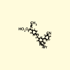 CC#C[C@@H](CC(=O)O)c1ccc(OCc2cc(-c3cccc(C#N)c3)c3nc(C(C)C)nn3c2)cc1